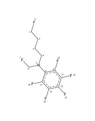 FCCCCN(CF)c1c(F)c(F)c(F)c(F)c1F